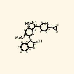 COc1cc2[nH]nc(-c3ccc(C4CC4)nc3)c2nc1C1c2ccccc2CC1O